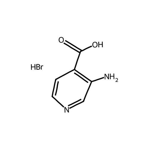 Br.Nc1cnccc1C(=O)O